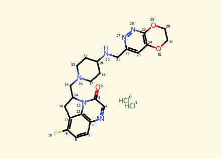 Cl.Cl.O=c1cnc2ccc(F)c3c2n1C(CN1CCC(NCc2cc4c(nn2)OCCO4)CC1)C3